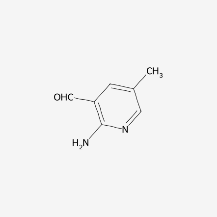 Cc1cnc(N)c(C=O)c1